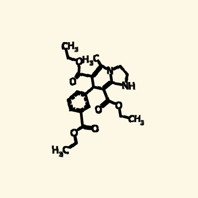 CCOC(=O)C1=C(C)N2CCNC2=C(C(=O)OCC)C1c1cccc(C(=O)OCC)c1